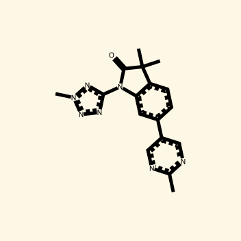 Cc1ncc(-c2ccc3c(c2)N(c2nnn(C)n2)C(=O)C3(C)C)cn1